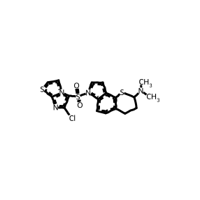 CN(C)C1CCc2ccc3c(ccn3S(=O)(=O)c3c(Cl)nc4sccn34)c2S1